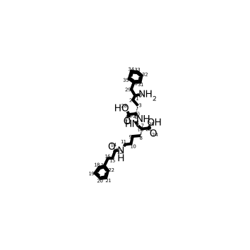 NC(CC[C@H](NN[C@@H](CCCCNC(=O)CCc1ccccc1)C(=O)O)C(=O)O)Cc1ccccc1